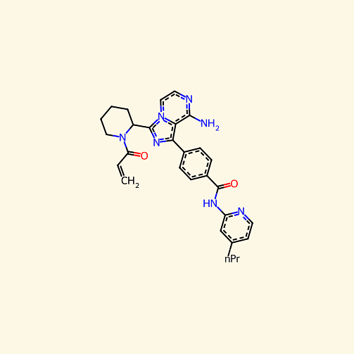 C=CC(=O)N1CCCCC1c1nc(-c2ccc(C(=O)Nc3cc(CCC)ccn3)cc2)c2c(N)nccn12